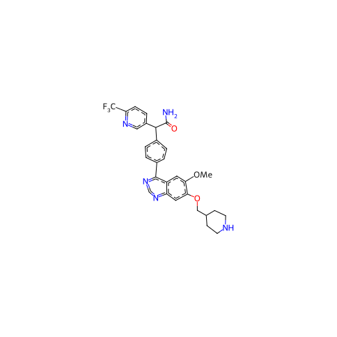 COc1cc2c(-c3ccc(C(C(N)=O)c4ccc(C(F)(F)F)nc4)cc3)ncnc2cc1OCC1CCNCC1